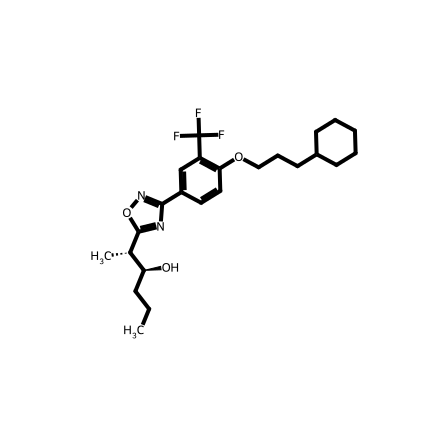 CCC[C@H](O)[C@H](C)c1nc(-c2ccc(OCCCC3CCCCC3)c(C(F)(F)F)c2)no1